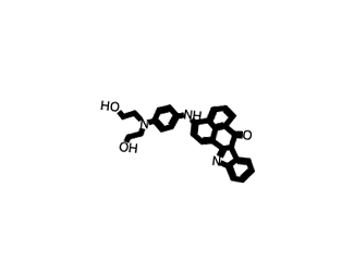 O=C1c2cccc3c(Nc4ccc(N(CCO)CCO)cc4)ccc(c23)C2=Nc3ccccc3C12